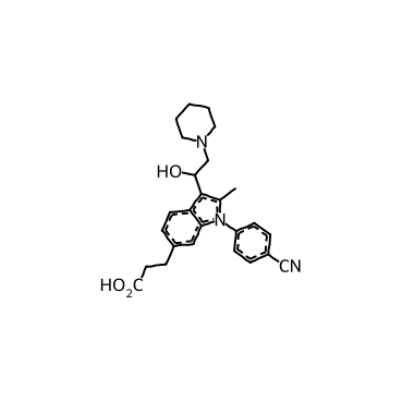 Cc1c(C(O)CN2CCCCC2)c2ccc(CCC(=O)O)cc2n1-c1ccc(C#N)cc1